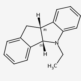 CCN1c2ccccc2[C@H]2Cc3ccccc3[C@H]21